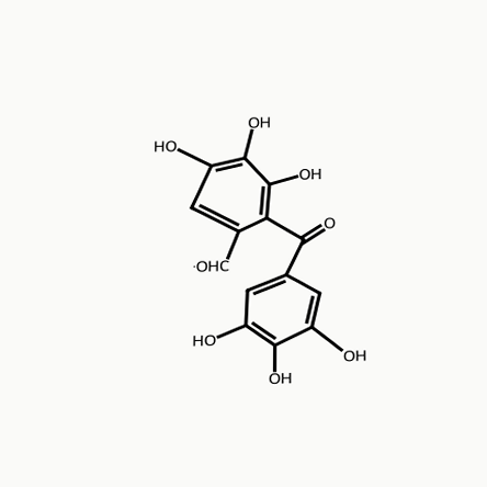 O=[C]c1cc(O)c(O)c(O)c1C(=O)c1cc(O)c(O)c(O)c1